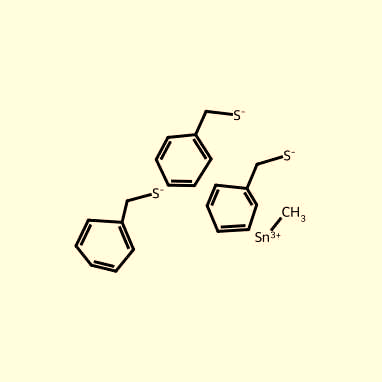 [CH3][Sn+3].[S-]Cc1ccccc1.[S-]Cc1ccccc1.[S-]Cc1ccccc1